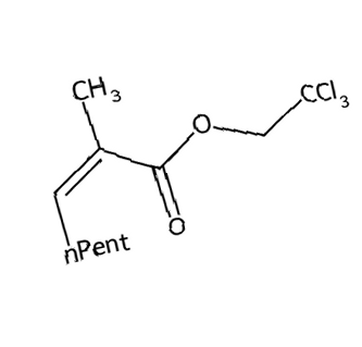 CCCCC/C=C(/C)C(=O)OCC(Cl)(Cl)Cl